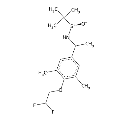 Cc1cc(C(C)N[S@+]([O-])C(C)(C)C)cc(C)c1OCC(F)F